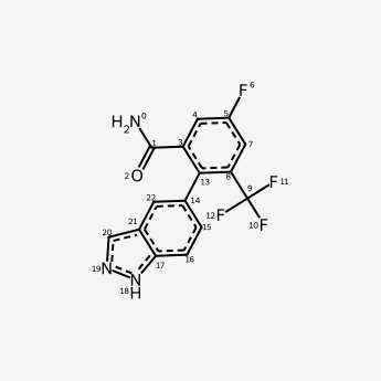 NC(=O)c1cc(F)cc(C(F)(F)F)c1-c1ccc2[nH]ncc2c1